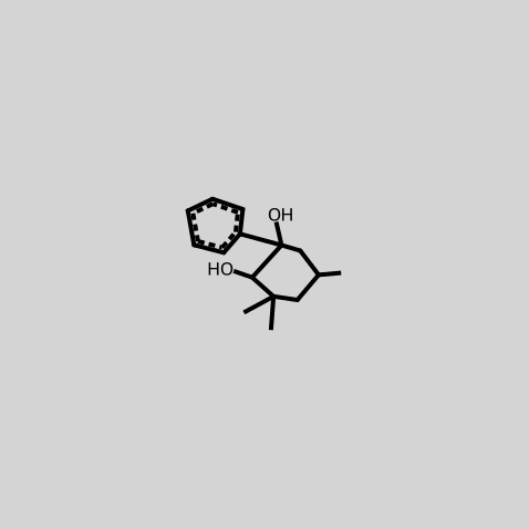 CC1CC(C)(C)C(O)C(O)(c2ccccc2)C1